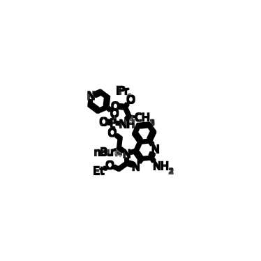 CCCC[C@H](COP(=O)(N[C@@H](C)C(=O)OC(C)C)Oc1ccncc1)n1c(COCC)nc2c(N)nc3ccccc3c21